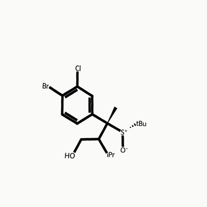 CC(C)C(CO)[C@](C)(c1ccc(Br)c(Cl)c1)[S@@+]([O-])C(C)(C)C